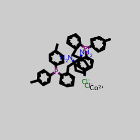 Cc1ccc(P(c2ccc(C)cc2)c2ccccc2CC2(N)CCCCC2(N)Cc2ccccc2P(c2ccc(C)cc2)c2ccc(C)cc2)cc1.[Cl-].[Cl-].[Co+2]